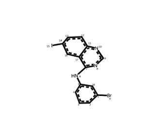 Brc1cccc(Nc2ncnc3ccc(I)cc23)c1